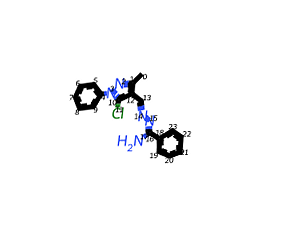 Cc1nn(-c2ccccc2)c(Cl)c1C=NN=C(N)c1ccccc1